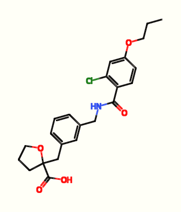 CCCOc1ccc(C(=O)NCc2cccc(CC3(C(=O)O)CCCO3)c2)c(Cl)c1